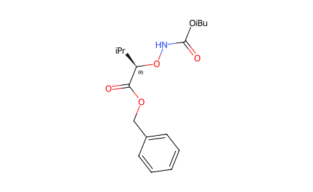 CC(C)COC(=O)NO[C@@H](C(=O)OCc1ccccc1)C(C)C